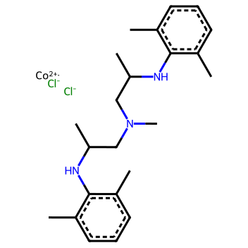 Cc1cccc(C)c1NC(C)CN(C)CC(C)Nc1c(C)cccc1C.[Cl-].[Cl-].[Co+2]